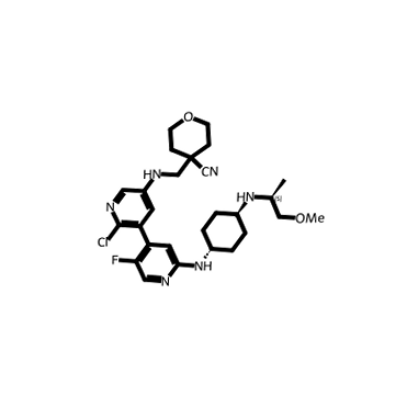 COC[C@H](C)N[C@H]1CC[C@H](Nc2cc(-c3cc(NCC4(C#N)CCOCC4)cnc3Cl)c(F)cn2)CC1